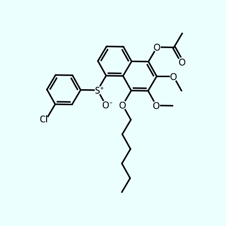 CCCCCCOc1c(OC)c(OC)c(OC(C)=O)c2cccc([S+]([O-])c3cccc(Cl)c3)c12